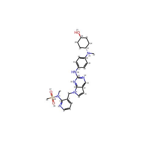 CN(c1ncccc1Cn1ccc2cnc(Nc3ccc(N(C)[C@H]4CC[C@H](O)CC4)cc3)nc21)S(C)(=O)=O